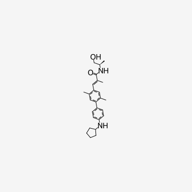 C/C(=C\c1cc(C)c(-c2ccc(NC3CCCC3)cc2)cc1C)C(=O)N[C@H](C)CO